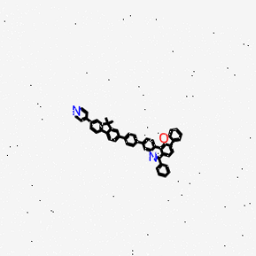 CC1(C)c2cc(-c3ccncc3)ccc2-c2ccc(-c3ccc(-c4ccc5c(c4)nc(-c4ccccc4)c4ccc6c7ccccc7oc6c45)cc3)cc21